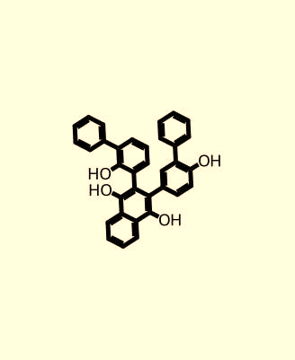 Oc1ccc(-c2c(-c3cccc(-c4ccccc4)c3O)c(O)c3ccccc3c2O)cc1-c1ccccc1